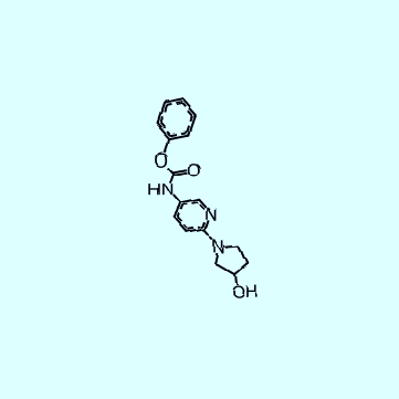 O=C(Nc1ccc(N2CCC(O)C2)nc1)Oc1ccccc1